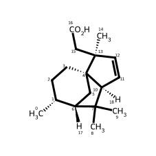 C[C@@H]1CC[C@@]23C[C@@H]1C(C)(C)[C@@H]2C=C[C@]3(C)CC(=O)O